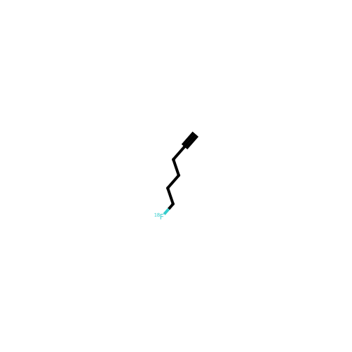 C#CCCCC[18F]